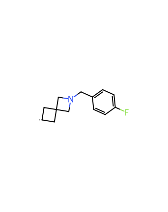 Fc1ccc(CN2CC3(C[CH]C3)C2)cc1